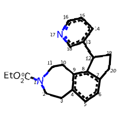 CCOC(=O)N1CCc2ccc3c(c2CC1)C(c1cccnc1)CC3